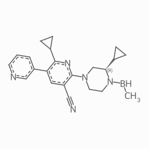 CBN1CCN(c2nc(C3CC3)c(-c3cccnc3)cc2C#N)C[C@H]1C1CC1